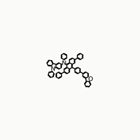 c1ccc(-c2ccc3c(N(c4ccccc4)c4ccc5c(c4)c4ccccc4n5-c4ccccc4)c4cc(-c5ccccc5)ccc4c(-c4ccc(-c5ccc6oc7ccccc7c6c5)cc4)c3c2)cc1